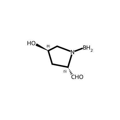 BN1C[C@H](O)C[C@H]1C=O